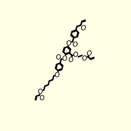 C=CC(=O)Cc1ccc(C(=O)Oc2ccc(OC(=O)c3ccc(OCCCCCCOC(=O)C=C)cc3)c(C(=O)OCCOC(=O)C=C)c2)cc1